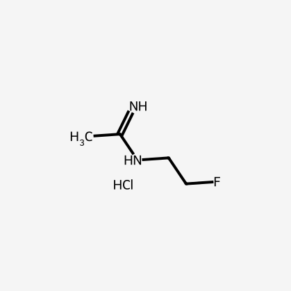 CC(=N)NCCF.Cl